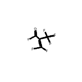 O=C(F)C(=C(F)F)C(F)(F)F